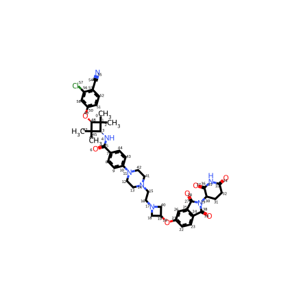 CC1(C)[C@H](NC(=O)c2ccc(N3CCN(CCN4CC(Oc5ccc6c(c5)C(=O)N(C5CCC(=O)NC5=O)C6=O)C4)CC3)cc2)C(C)(C)[C@H]1Oc1ccc(C#N)c(Cl)c1